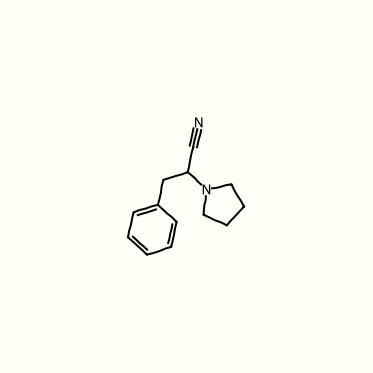 N#CC(Cc1ccccc1)N1CCCC1